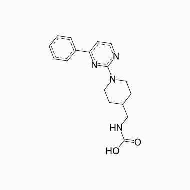 O=C(O)NCC1CCN(c2nccc(-c3ccccc3)n2)CC1